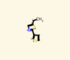 CCc1cnc(-c2ccsc2)s1